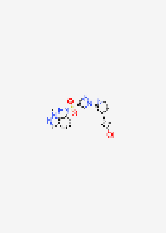 Cn1ncc2cccc(NS(=O)(=O)c3cnn(-c4cc(C5CC(O)C5)ccn4)c3)c21